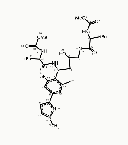 COC(=O)NC(C(=O)NCC(O)CN(NC(=O)C(NC(=O)OC)C(C)(C)C)c1c(F)cc(-c2ccn(C)n2)cc1F)C(C)(C)C